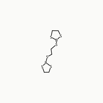 C1CSB(SCCSB2SCCS2)S1